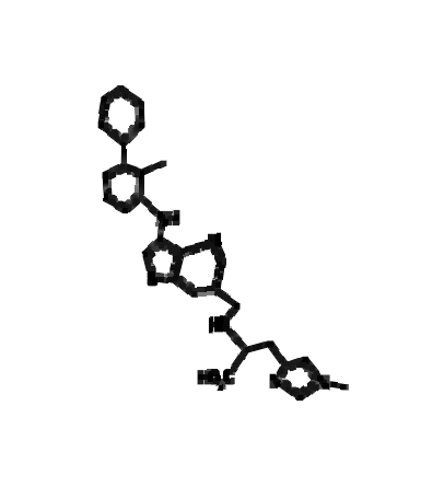 Cc1c(Nc2csc3cc(CNC(Cc4cn(C)cn4)C(=O)O)cnc23)cccc1-c1ccccc1